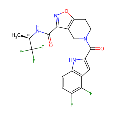 C[C@@H](NC(=O)c1noc2c1CN(C(=O)c1cc3c(F)c(F)ccc3[nH]1)CC2)C(F)(F)F